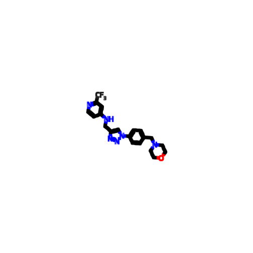 FC(F)(F)c1cc(NCc2cn(-c3ccc(CN4CCOCC4)cc3)nn2)ccn1